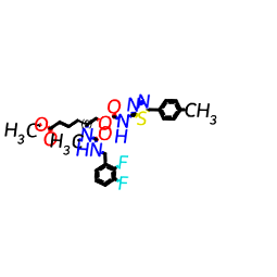 COC(=O)CCC[C@@H](COC(=O)Nc1nnc(-c2ccc(C)cc2)s1)N(C)C(=O)NCc1cccc(F)c1F